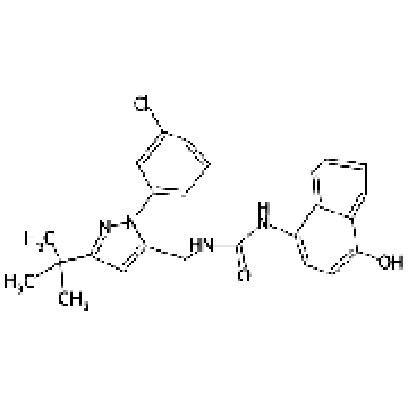 CC(C)(C)c1cc(CNC(=O)Nc2ccc(O)c3ccccc23)n(-c2cccc(Cl)c2)n1